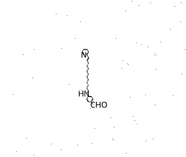 O=Cc1ccc(NCCCCCCCCCCC/C=C/c2ccccn2)cc1